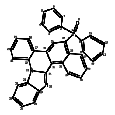 O=P(c1ccccc1)(c1ccccc1)c1cc2c3ccccc3n3c4ccccc4nc3c2c2ccccc12